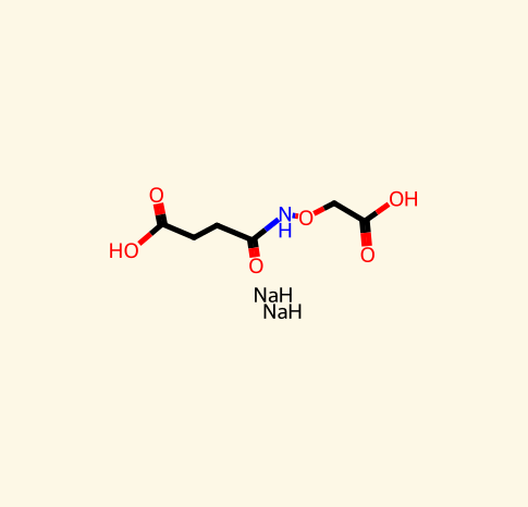 O=C(O)CCC(=O)NOCC(=O)O.[NaH].[NaH]